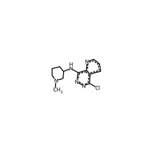 CN1CCCC(Nc2nnc(Cl)c3cccnc23)C1